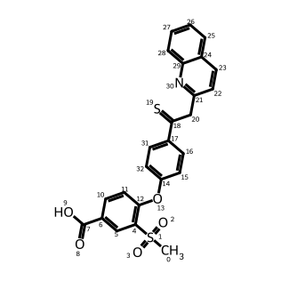 CS(=O)(=O)c1cc(C(=O)O)ccc1Oc1ccc(C(=S)Cc2ccc3ccccc3n2)cc1